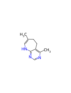 CC1=CNc2ncnc(C)c2CC1